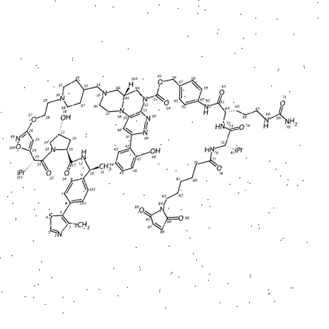 Cc1ncsc1-c1ccc([C@H](C)NC(=O)[C@@H]2C[C@@H](O)CN2C(=O)[C@@H](c2cc(OCCN3CCC(CN4CCN5c6cc(-c7ccccc7O)nnc6N(C(=O)OCc6ccc(NC(=O)[C@H](CCCNC(N)=O)NC(=O)[C@@H](NC(=O)CCCCCN7C(=O)C=CC7=O)C(C)C)cc6)C[C@H]5C4)CC3)no2)C(C)C)cc1